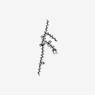 CCCCCCCCOC(CCC(=O)OC[C@H](COC(=O)CCCCCCCCCCC(=O)OCCCCCCC)COC(=O)OCCCN(CC)CC)OCCCCCCCC